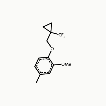 COc1cc(C)ccc1OCC1(C(F)(F)F)CC1